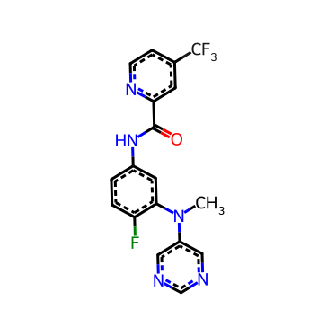 CN(c1cncnc1)c1cc(NC(=O)c2cc(C(F)(F)F)ccn2)ccc1F